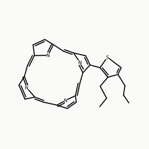 CCCc1csc(C2=CC3=CC4=NC(=CC5=NC(=CC6=NC(=CC2=N3)C=C6)C=C5)C=C4)c1CCC